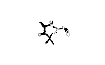 C=C(PPN=O)C(=O)C(C)(C)C